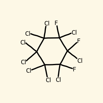 FC1(Cl)C(F)(Cl)C(Cl)(Cl)C(Cl)(Cl)C(Cl)(Cl)C1(F)Cl